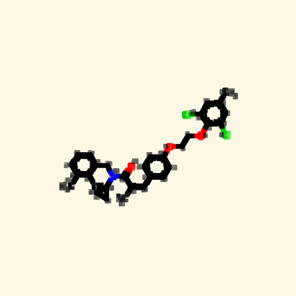 Cc1cc(Cl)c(OCCOc2ccc(C=C(C#N)C(=O)N(Cc3cccc(C)c3C)C3CC3)cc2)c(Cl)c1